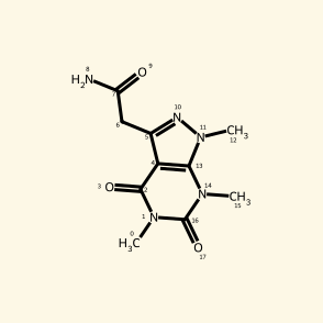 Cn1c(=O)c2c(CC(N)=O)nn(C)c2n(C)c1=O